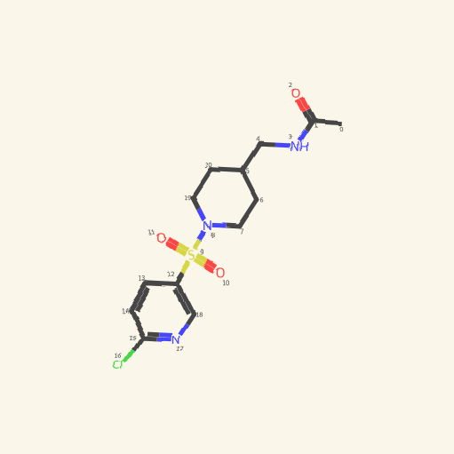 CC(=O)NCC1CCN(S(=O)(=O)c2ccc(Cl)nc2)CC1